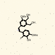 COc1ccc(/C=C\c2cc(CO)c(CO)c(OC)c2)c(F)c1O